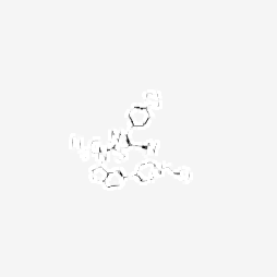 CN(c1nc(-c2ccc(Cl)cc2)c(C#N)s1)C1CCc2ccc(C3=CCN(CC=O)CC3)cc21